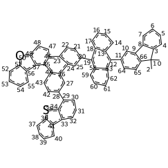 CC1(C)c2ccccc2-c2cc(-c3c4ccccc4c(-c4ccc5c(c4)c4cc(-c6cccc7c6sc6ccccc67)ccc4c4c5ccc5oc6ccccc6c54)c4ccccc34)ccc21